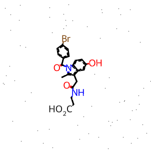 Cc1c(CC(=O)NCCC(=O)O)c2cc(O)ccc2n1C(=O)c1ccc(Br)cc1